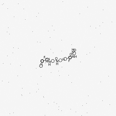 O=C1CCC(Nc2ccc(C3CCN([C@H]4CC[C@H](NC(=O)[C@H]5CC[C@H](Nc6ncc(F)c(-c7cccc(N8CCCCC8)c7)n6)CC5)CC4)CC3)c(F)c2)C(=O)N1